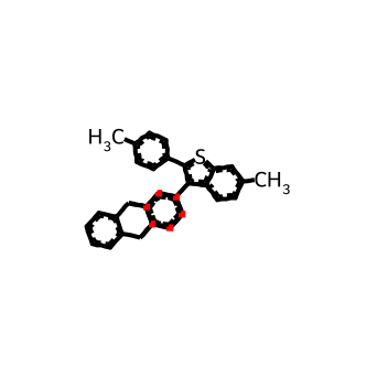 Cc1ccc(-c2sc3cc(C)ccc3c2-c2ccc3c(c2)C2c4ccccc4C3c3ccccc32)cc1